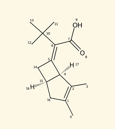 CC1=C(C)[C@@H]2C(=C(C(=O)O)C(C)(C)C)C[C@@H]2C1